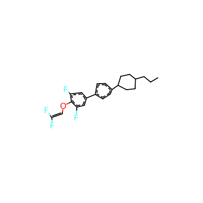 CCCC1CCC(c2ccc(-c3cc(F)c(OC=C(F)F)c(F)c3)cc2)CC1